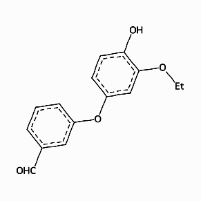 CCOc1cc(Oc2cccc(C=O)c2)ccc1O